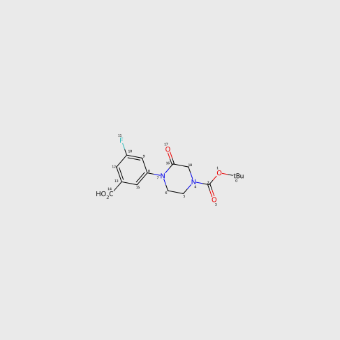 CC(C)(C)OC(=O)N1CCN(c2cc(F)cc(C(=O)O)c2)C(=O)C1